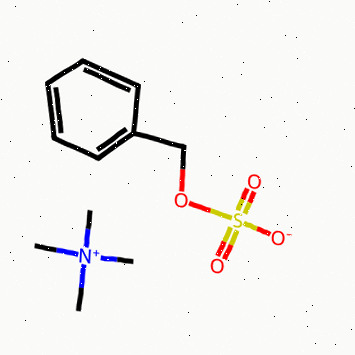 C[N+](C)(C)C.O=S(=O)([O-])OCc1ccccc1